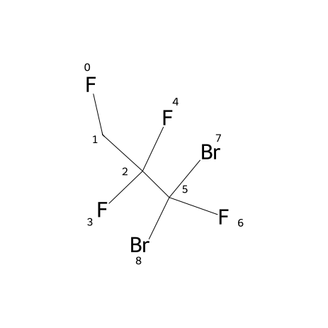 FCC(F)(F)C(F)(Br)Br